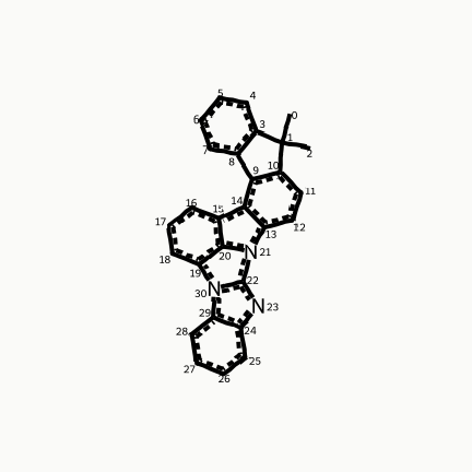 CC1(C)c2ccccc2-c2c1ccc1c2c2cccc3c2n1c1nc2ccccc2n31